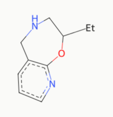 CCC1CNCc2cccnc2O1